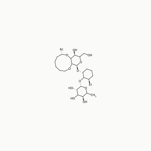 CC[C@@H]1CCC[C@@H](O[C@@H]2OC(CO)[C@H](O)C3O[C@@H](C(C)=O)CCCCCOC32)C1O[C@@H]1OC(C)[C@@H](O)C(O)[C@@H]1O